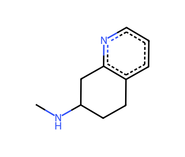 CNC1CCc2cccnc2C1